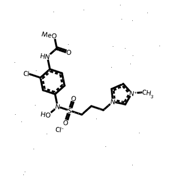 COC(=O)Nc1ccc(N(O)S(=O)(=O)CCCn2cc[n+](C)c2)cc1Cl.[Cl-]